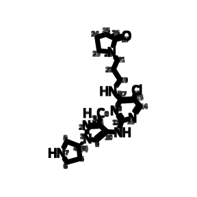 Cc1nn([C@@H]2CCNC2)cc1Nc1ncc(Cl)c(NCCCN2CCCC2=O)n1